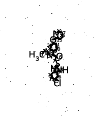 CCn1nc(C(=O)CSc2nc3ccc(Cl)cc3[nH]2)c2ccc(Oc3ccccn3)cc21